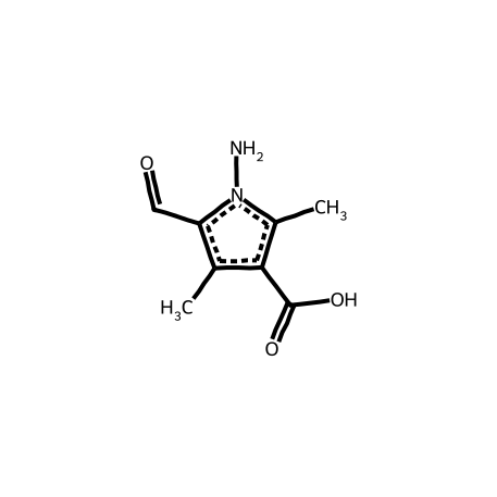 Cc1c(C(=O)O)c(C)n(N)c1C=O